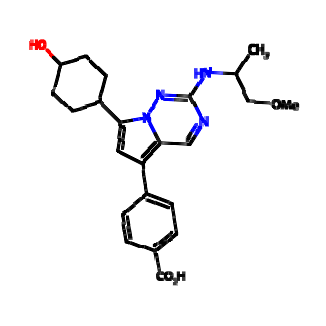 COCC(C)Nc1ncc2c(-c3ccc(C(=O)O)cc3)cc(C3CCC(O)CC3)n2n1